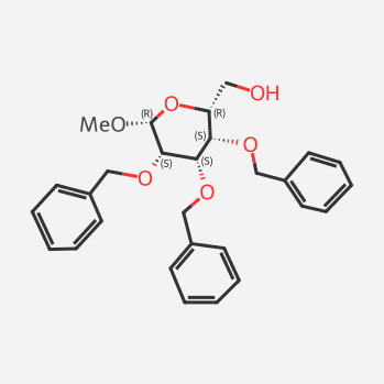 CO[C@@H]1O[C@H](CO)[C@H](OCc2ccccc2)[C@H](OCc2ccccc2)[C@@H]1OCc1ccccc1